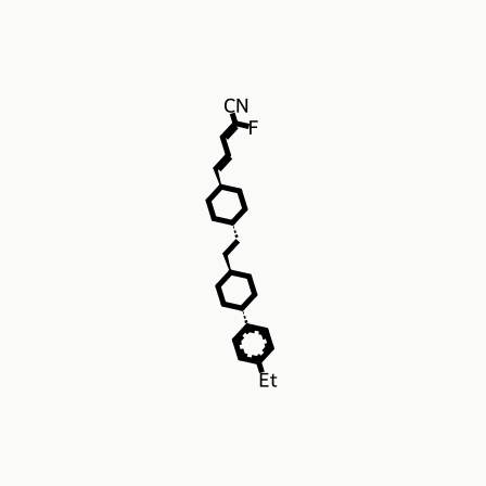 CCc1ccc([C@H]2CC[C@H](CC[C@H]3CC[C@H](C=CC=C(F)C#N)CC3)CC2)cc1